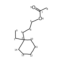 CCC1(CCCOC(C)=O)CCCCC1